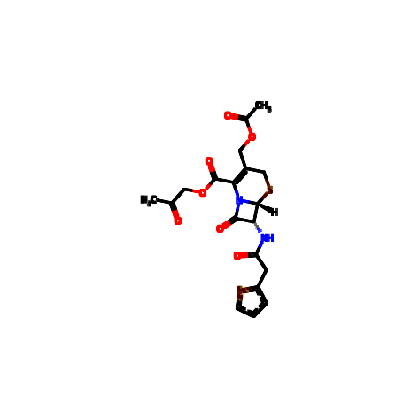 CC(=O)COC(=O)C1=C(COC(C)=O)CS[C@@H]2[C@H](NC(=O)Cc3cccs3)C(=O)N12